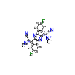 [C-]#[N+]/C(C#N)=C1/c2cc(F)ccc2-c2nc3c(nc21)-c1ccc(F)cc1/C3=C(/C#N)[N+]#[C-]